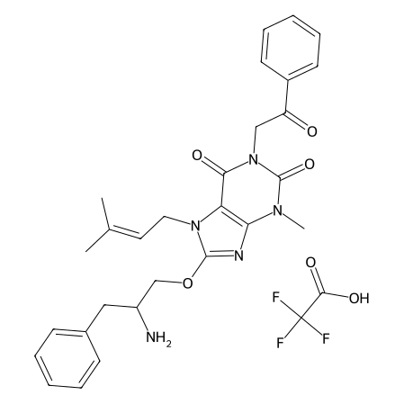 CC(C)=CCn1c(OCC(N)Cc2ccccc2)nc2c1c(=O)n(CC(=O)c1ccccc1)c(=O)n2C.O=C(O)C(F)(F)F